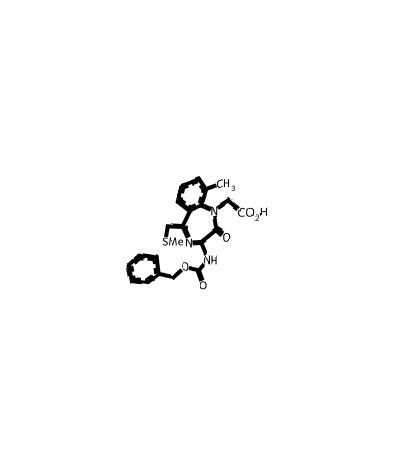 CSCC1=NC(NC(=O)OCc2ccccc2)C(=O)N(CC(=O)O)c2c(C)cccc21